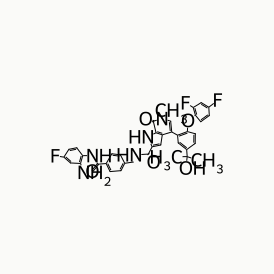 Cn1cc(-c2cc(C(C)(C)O)ccc2Oc2ccc(F)cc2F)c2cc(C(=O)NCc3ccc(C(=O)Nc4ccc(F)cc4N)cc3)[nH]c2c1=O